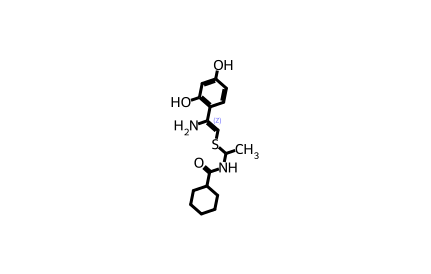 CC(NC(=O)C1CCCCC1)S/C=C(\N)c1ccc(O)cc1O